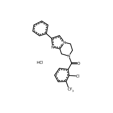 Cl.O=C(c1cccc(C(F)(F)F)c1Cl)N1CCn2cc(-c3ccccc3)nc2C1